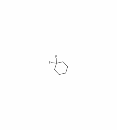 FC1(F)CCCCC1